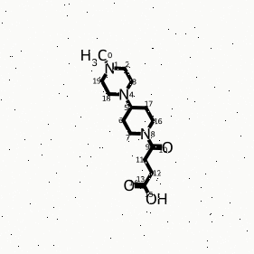 CN1CCN(C2CCN(C(=O)CCC(=O)O)CC2)CC1